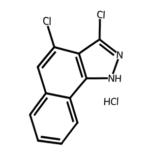 Cl.Clc1cc2ccccc2c2[nH]nc(Cl)c12